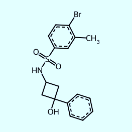 Cc1cc(S(=O)(=O)NC2CC(O)(c3ccccc3)C2)ccc1Br